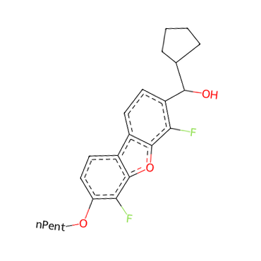 CCCCCOc1ccc2c(oc3c(F)c(C(O)C4CCCC4)ccc32)c1F